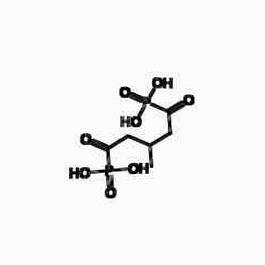 CC(CC(=O)P(=O)(O)O)CC(=O)P(=O)(O)O